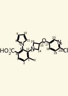 Cc1ccc(C(=O)O)c(-n2cccc2)c1N1CC(Oc2ccc(Cl)nc2)C1